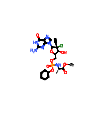 C#CC1(Cl)C(n2cnc3c(=O)[nH]c(N)nc32)O[C@H](COP(=O)(N[C@@H](C)C(=O)OC(C)C)Oc2ccccc2)[C@@H]1O